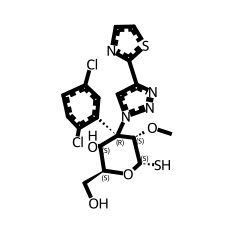 CO[C@@H]1[C@H](S)O[C@@H](CO)[C@@H](O)[C@@]1(c1cc(Cl)ccc1Cl)n1cc(-c2nccs2)nn1